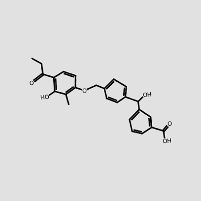 CCC(=O)c1ccc(OCc2ccc(C(O)c3cccc(C(=O)O)c3)cc2)c(C)c1O